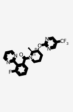 C[C@H]1[C@H](Oc2ncc(C(F)(F)F)cn2)CCCN1C(=O)c1cccc(F)c1-c1ncccn1